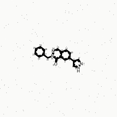 O=c1c2cc(-c3cn[nH]c3)ccc2cnn1Cc1ccccc1